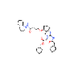 O=C(Cc1ccccc1)NC1=Nc2cccc(OCCCC(=O)NN3CCCC4CCCCC43)c2CN1CC(=O)OCc1ccccc1